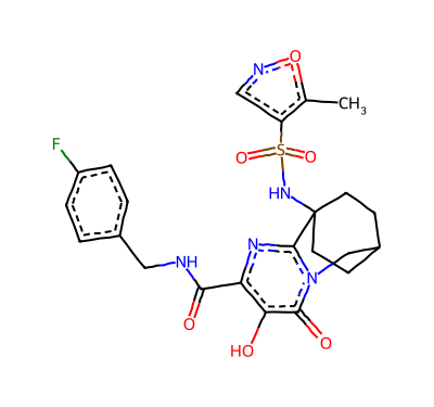 Cc1oncc1S(=O)(=O)NC12CCC(CC1)Cn1c2nc(C(=O)NCc2ccc(F)cc2)c(O)c1=O